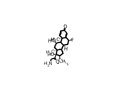 C[C@@H]1CC2[C@@H]3C[C@H](F)C4=CC(=O)C=C[C@]4(C)C3[C@@H](O)C[C@]2(C)[C@@]1(O)C(=O)CN